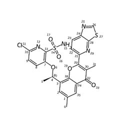 Cc1cc([C@@H](C)Oc2ccc(Cl)nc2S(N)(=O)=O)c2oc(-c3ccc4ncsc4n3)c(C)c(=O)c2c1